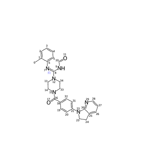 Cc1ccccc1/N=C(\NC=O)N1CCN(C(=O)c2ccc(N3CCc4cccnc43)cc2)CC1